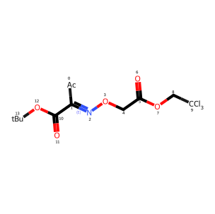 CC(=O)/C(=N\OCC(=O)OCC(Cl)(Cl)Cl)C(=O)OC(C)(C)C